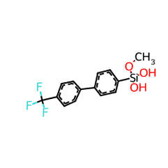 CO[Si](O)(O)c1ccc(-c2ccc(C(F)(F)F)cc2)cc1